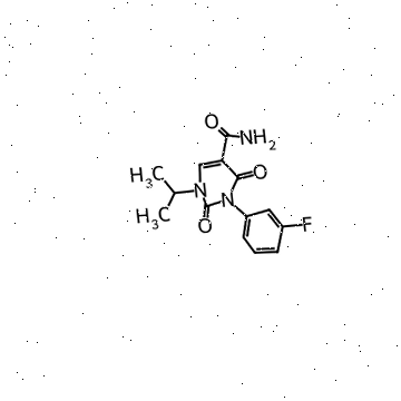 CC(C)n1cc(C(N)=O)c(=O)n(-c2cccc(F)c2)c1=O